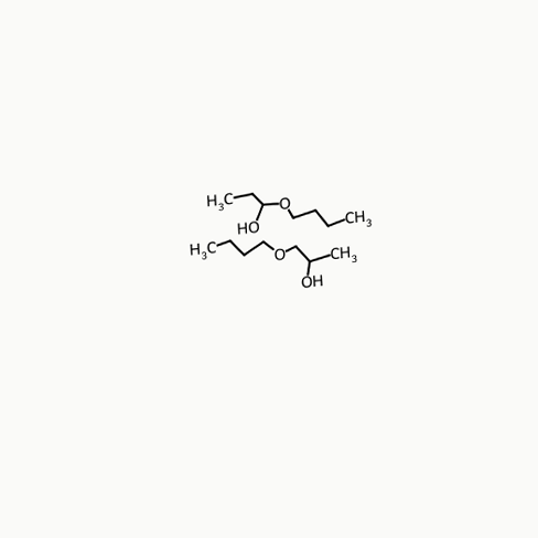 CCCCOC(O)CC.CCCCOCC(C)O